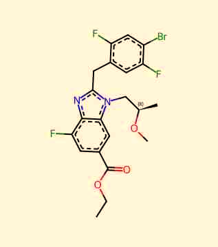 CCOC(=O)c1cc(F)c2nc(Cc3cc(F)c(Br)cc3F)n(C[C@@H](C)OC)c2c1